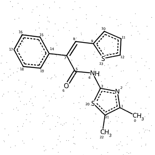 Cc1nc(NC(=O)/C(=C\c2cccs2)c2ccccc2)sc1C